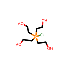 OCCP(Cl)(CCO)(CCO)CCO